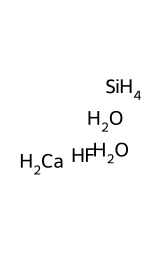 F.O.O.[CaH2].[SiH4]